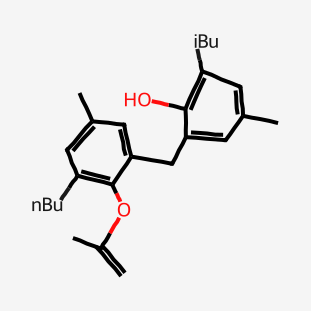 C=C(C)Oc1c(CCCC)cc(C)cc1Cc1cc(C)cc(C(C)CC)c1O